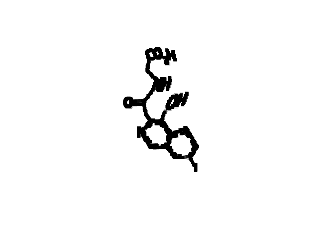 O=C(O)CNC(=O)c1ncc2cc(I)ccc2c1O